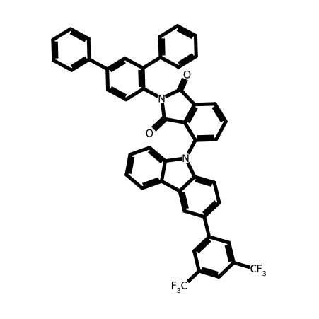 O=C1c2cccc(-n3c4ccccc4c4cc(-c5cc(C(F)(F)F)cc(C(F)(F)F)c5)ccc43)c2C(=O)N1c1ccc(-c2ccccc2)cc1-c1ccccc1